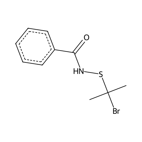 CC(C)(Br)SNC(=O)c1ccccc1